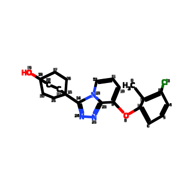 Cc1c(Cl)cccc1Oc1cccn2c(C34CCC(O)(CC3)CC4)nnc12